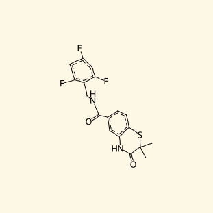 CC1(C)Sc2ccc(C(=O)NCc3c(F)cc(F)cc3F)cc2NC1=O